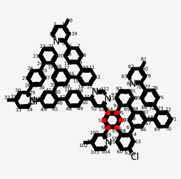 Cc1ccnc(-c2ccc(-c3ccccc3-c3cc(-c4ccccc4-c4ccc(-c5cc(C)ccn5)cc4)cc(-c4cc(Cl)ccc4-c4ccc(-c5cc(-c6ccc(-c7ccc(Cl)cc7-c7cc(-c8ccccc8-c8ccc(-c9cc(C)ccn9)cc8)cc(-c8ccccc8-c8ccc(-c9cc(C)ccn9)cc8)c7)cc6)ncn5)cc4)c3)cc2)c1